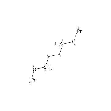 CC(C)O[SiH2]CC[SiH2]OC(C)C